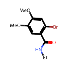 CCNC(=O)c1cc(OC)c(OC)cc1Br